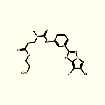 CCCCCCCCCCCCOC(=O)CCN(C)C(=O)Nc1cccc(-c2nn3nc(C(C)(C)C)c(Cl)c3[nH]2)c1